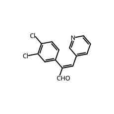 O=CC(=Cc1cccnc1)c1ccc(Cl)c(Cl)c1